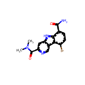 CN(C)C(=O)c1cc2[nH]c3c(C(N)=O)ccc(Br)c3c2cn1